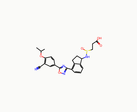 CC(C)Oc1ccc(-c2nc(-c3cccc4c3CCC4N[S+]([O-])CCC(=O)O)no2)cc1C#N